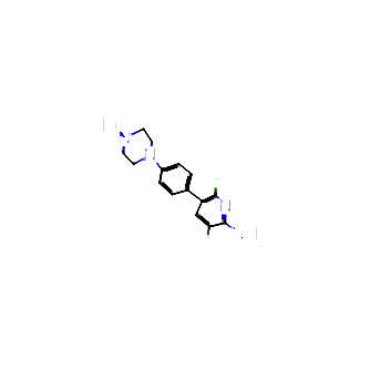 CCN1CCN(c2ccc(-c3cc(Cl)c(N)nc3F)cc2)CC1